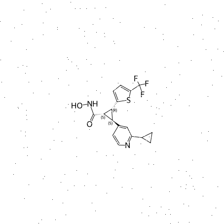 O=C(NO)[C@H]1[C@H](c2ccnc(C3CC3)c2)[C@H]1c1ccc(C(F)(F)F)s1